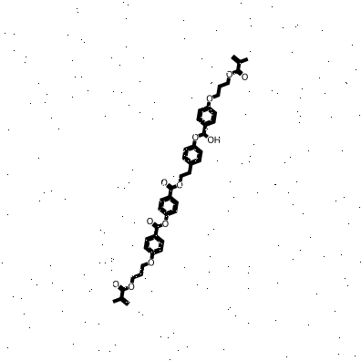 C=C(C)C(=O)OCCCOc1ccc(C(=O)Oc2ccc(C(=O)OCCc3ccc(OC(O)c4ccc(OCCCOC(=O)C(=C)C)cc4)cc3)cc2)cc1